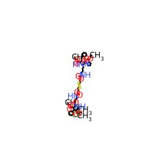 CCOC(=O)C1=C(COCCNC(=O)OCCSSCCOC(=O)NCCCC[C@H](NC(CCc2ccccc2)C(=O)OCC)C(=O)N2CCC[C@H]2C(=O)OCC)NC(C)=C(C(=O)OC)C1c1ccccc1Cl